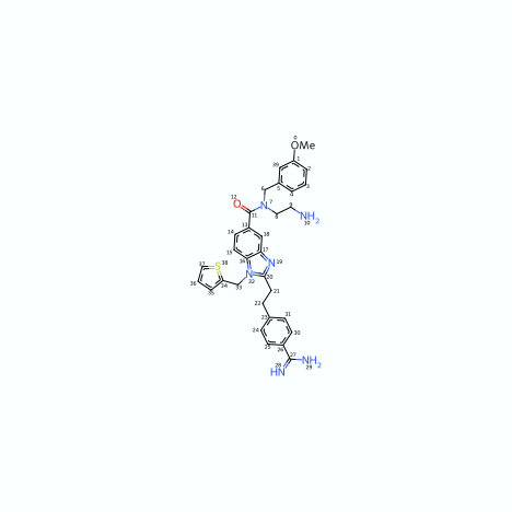 COc1cccc(CN(CCN)C(=O)c2ccc3c(c2)nc(CCc2ccc(C(=N)N)cc2)n3Cc2cccs2)c1